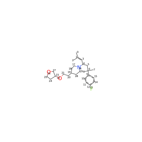 CC(C)=CC(CC(C)(C)c1ccc(F)cc1)N1CCC(CCOC2CCOC2)CC1